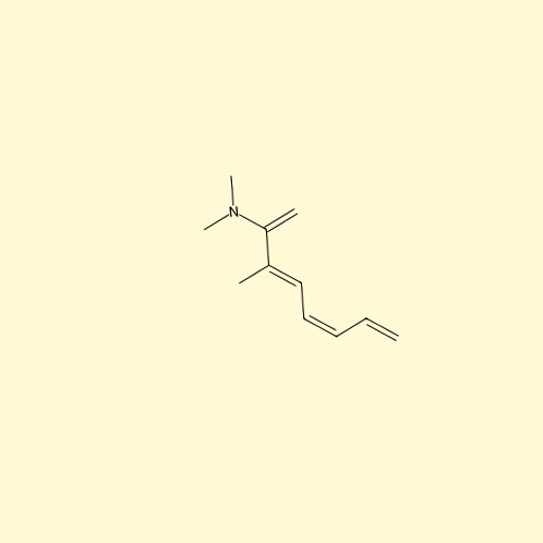 C=C/C=C\C=C(/C)C(=C)N(C)C